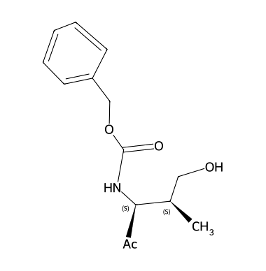 CC(=O)[C@@H](NC(=O)OCc1ccccc1)[C@H](C)CO